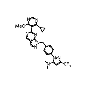 COc1ncnc(C2CC2)c1-c1ncc2cnn(Cc3ccc(-n4nc(C(F)(F)F)cc4N(C)C)cc3)c2n1